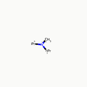 [CH2]C(C)N(C)CCC